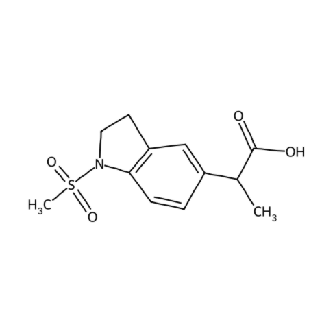 CC(C(=O)O)c1ccc2c(c1)CCN2S(C)(=O)=O